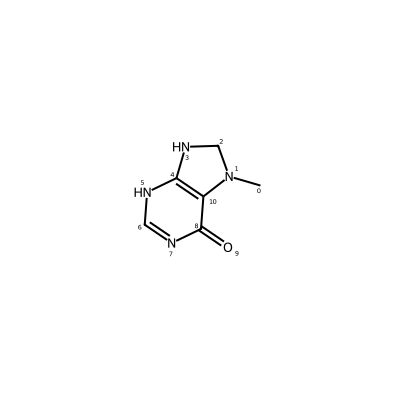 CN1CNc2[nH]cnc(=O)c21